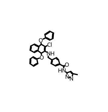 CC1=CC(NC(=O)c2ccc(CNC3=C(Cl)C(Oc4ccccc4)c4ccccc4C3Oc3ccccc3)cc2)N=N1